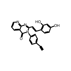 C#Cc1ccc(-n2c(/C=C/c3ccc(O)cc3O)nc3ncccc3c2=O)cc1